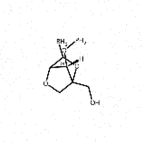 BC1OC2(CO)COC1[C@@H]2OP